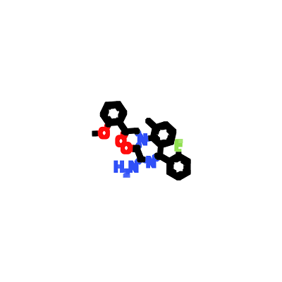 COc1ccccc1C(=O)CN1C(=O)C(N)N=C(c2ccccc2F)c2cccc(C)c21